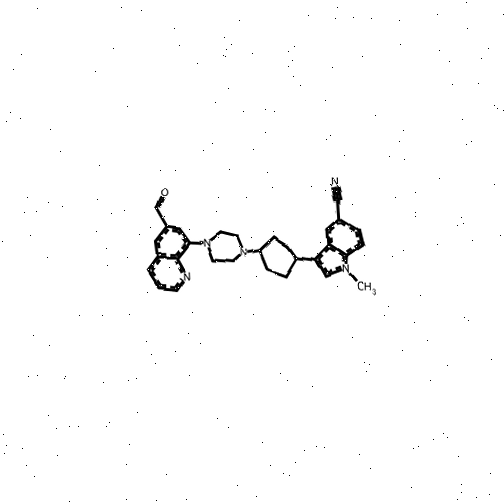 Cn1cc(C2CCC(N3CCN(c4cc(C=O)cc5cccnc45)CC3)CC2)c2cc(C#N)ccc21